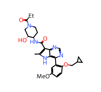 CCC(=O)N1CC[C@@H](NC(=O)c2c(C)[nH]c3c(-c4cc(OC)ccc4OCC4CC4)ncnc23)[C@H](O)C1